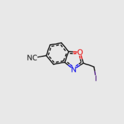 N#Cc1ccc2oc(CI)nc2c1